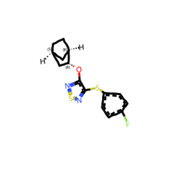 Fc1ccc(Sc2nsnc2O[C@@H]2C[C@H]3CC[C@@H]2C3)cc1